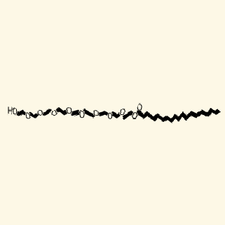 CCCCCCCCCCCCCCCCCCC(=O)OCCOCCOCCOCCOCCOCCOCCOCCOCCO